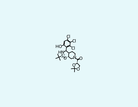 CC1(C)OC[C@H](C(=O)N2CCC(C(N[S@@+]([O-])C(C)(C)C)c3c(O)cc(Cl)c(Cl)c3Cl)CC2)O1